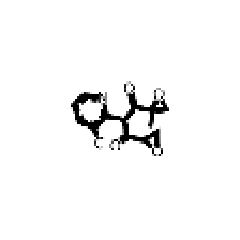 CC1(C(=O)C(C(=O)C2CO2)c2ncccc2Cl)CO1